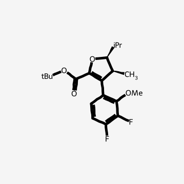 COc1c(C2=C(C(=O)OC(C)(C)C)O[C@@H](C(C)C)[C@H]2C)ccc(F)c1F